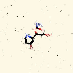 NC(=O)OC(CCO)c1cc(Br)ccn1